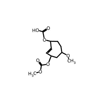 COC(=O)OC1/C=C/C(OC(=O)O)CCC(OC)C1